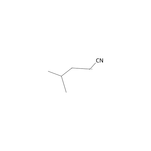 CC(C)C[CH]C#N